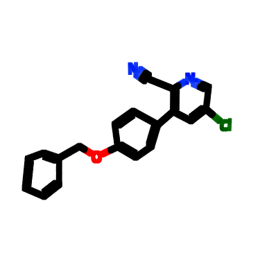 N#Cc1ncc(Cl)cc1-c1ccc(OCc2ccccc2)cc1